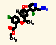 CCOC(=O)Cc1cc(F)ccc1OC(C)/C(=C/C(=C(\C)O)c1ccnc(CN)c1F)CC